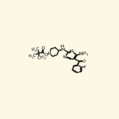 CC(C)(C)C(=O)ON1CCC(Nc2ncc(C(=O)c3ccccc3F)c(N)n2)CC1